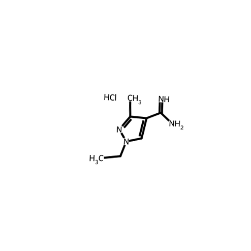 CCn1cc(C(=N)N)c(C)n1.Cl